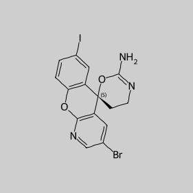 NC1=NCC[C@]2(O1)c1cc(I)ccc1Oc1ncc(Br)cc12